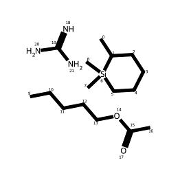 CC1CCCC[Si]1(C)C.CCCCCOC(C)=O.N=C(N)N